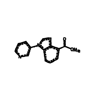 COC(=O)c1cccc2c1ccn2-c1cccnc1